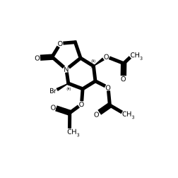 CC(=O)OC1C(OC(C)=O)[C@@H](Br)N2C(=O)OCC2[C@H]1OC(C)=O